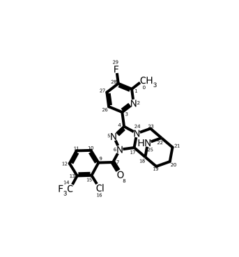 Cc1nc(C2=NN(C(=O)c3cccc(C(F)(F)F)c3Cl)C3C4CCCC(CN23)N4)ccc1F